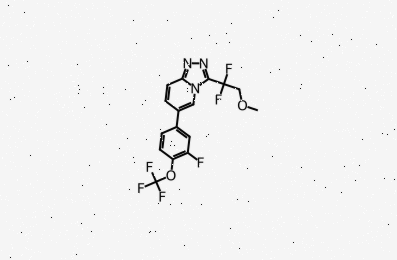 COCC(F)(F)c1nnc2ccc(-c3ccc(OC(F)(F)F)c(F)c3)cn12